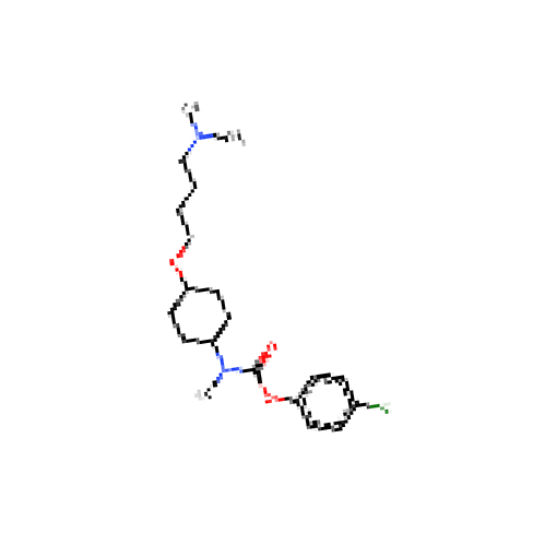 CN(C)CCCCOC1CCC(N(C)C(=O)Oc2ccc(Cl)cc2)CC1